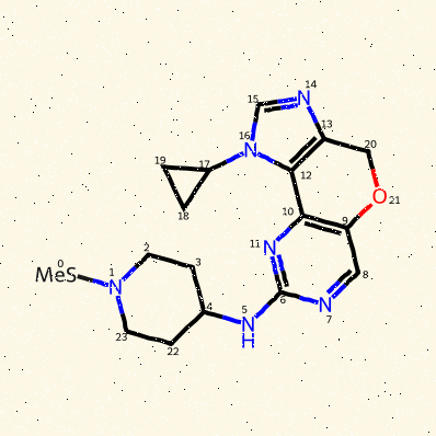 CSN1CCC(Nc2ncc3c(n2)-c2c(ncn2C2CC2)CO3)CC1